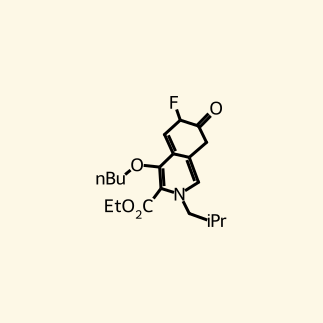 CCCCOC1=C(C(=O)OCC)N(CC(C)C)C=C2CC(=O)C(F)C=C21